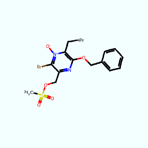 CC(C)Cc1c(OCc2ccccc2)nc(COS(C)(=O)=O)c(Br)[n+]1[O-]